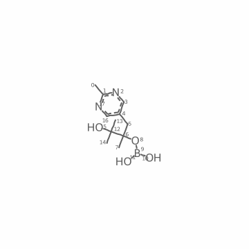 Cc1ncc(CC(C)(OB(O)O)C(C)(C)O)cn1